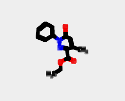 CCOC(=O)c1nn(-c2ccccc2)c(=O)cc1C